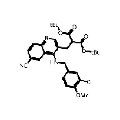 COc1ccc(CNc2c(CC(C(=O)OC(C)(C)C)C(=O)OC(C)(C)C)cnc3ccc(C#N)cc23)cc1Cl